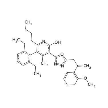 C=C(Cc1nnc(-c2c(O)nc(CCCC)c(-c3c(CC)cccc3CC)c2C)o1)C1=C(OC)CCC=C1